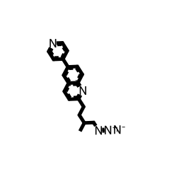 CC(CCc1ccc2cc(-c3ccncc3)ccc2n1)CN=[N+]=[N-]